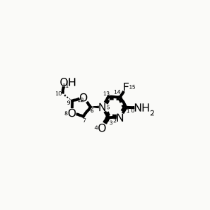 Nc1nc(=O)n([C@H]2CO[C@H](CO)O2)cc1F